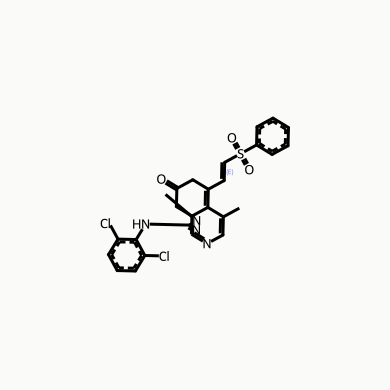 CC1=CN=C2N=C(Nc3c(Cl)cccc3Cl)N(C)C23CC(=O)CC(/C=C/S(=O)(=O)c2ccccc2)=C13